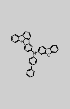 c1ccc(-c2ccc(N(c3ccc4c(c3)oc3ccccc34)c3ccc4c(c3)c3cccc5c6ccccc6n4c53)cc2)cc1